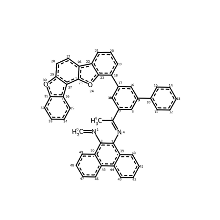 C=Nc1c(/N=C(\C)c2cc(-c3ccccc3)cc(-c3cccc4c3oc3c4ccc4oc5ccccc5c43)c2)c2ccccc2c2ccccc12